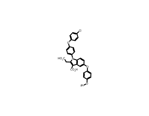 CC(C)Oc1ccc(Oc2ccc3c(c2)c(C(=O)O)c(CC(=O)O)n3-c2ccc(Oc3ccc(Cl)cc3)cc2)cc1